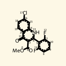 COC(=O)c1c(-c2c(F)cccc2F)[nH]c2cc(Cl)ccc2c1=O